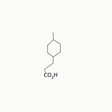 CC1CCC(CCC(=O)O)CC1